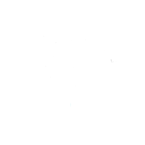 CCOc1ccc(C2(c3ccc(F)cc3)CCCCC2)cc1